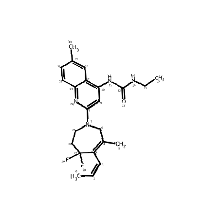 C/C=C\C1=C(C)CN(c2cc(NC(=O)NCC)c3cc(C)ccc3n2)CCC1(F)F